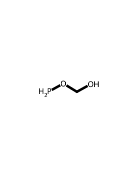 OCOP